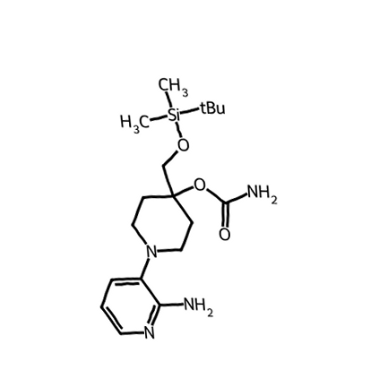 CC(C)(C)[Si](C)(C)OCC1(OC(N)=O)CCN(c2cccnc2N)CC1